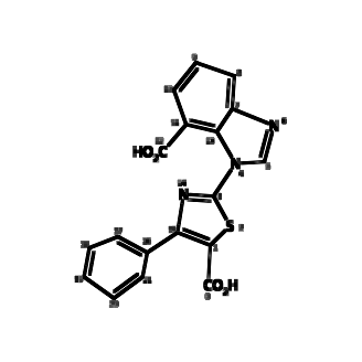 O=C(O)c1sc(-n2cnc3cccc(C(=O)O)c32)nc1-c1ccccc1